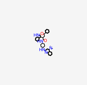 CN(C)c1cc(N[C@H]2CC[C@@H](NC(=O)C(CC(=O)c3ccccc3)c3c[nH]c4ccccc34)CC2)nc2ccccc12